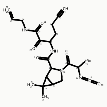 C#CCCC(NC(=O)C1C2C(CN1C(=O)C(N=C=O)C(C)(C)C)C2(C)C)C(=O)C(=O)NCC=C